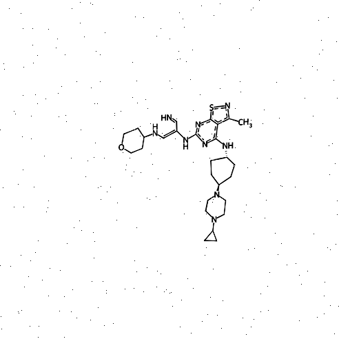 Cc1nsc2nc(N/C(C=N)=C/NC3CCOCC3)nc(N[C@H]3CC[C@H](N4CCN(C5CC5)CC4)CC3)c12